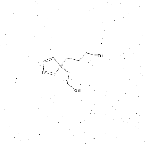 CC(C)(C)CCC[N+]1(CCO)C=CN=C1